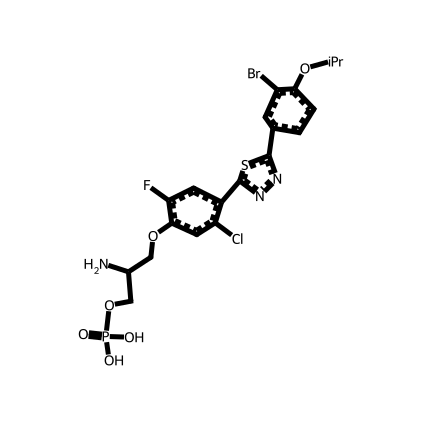 CC(C)Oc1ccc(-c2nnc(-c3cc(F)c(OCC(N)COP(=O)(O)O)cc3Cl)s2)cc1Br